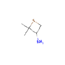 CC1(C)SCC1N